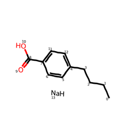 CCCCc1ccc(C(=O)O)cc1.[NaH]